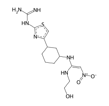 N=C(N)Nc1nc(C2CCCC(NC(=C[N+](=O)[O-])NCCO)C2)cs1